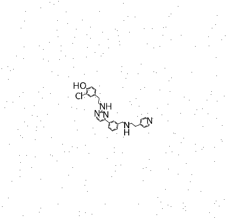 Oc1ccc(CCNc2nccc(-c3cccc(CNCCc4ccncc4)c3)n2)cc1Cl